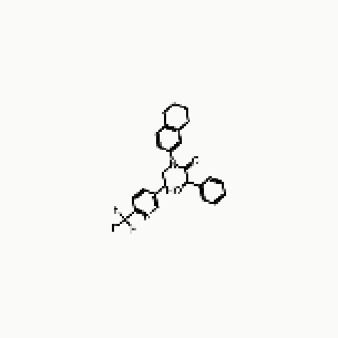 O=C(C(O)c1ccccc1)N(CCc1ccc(C(F)(F)F)nc1)c1ccc2c(c1)CCCC2